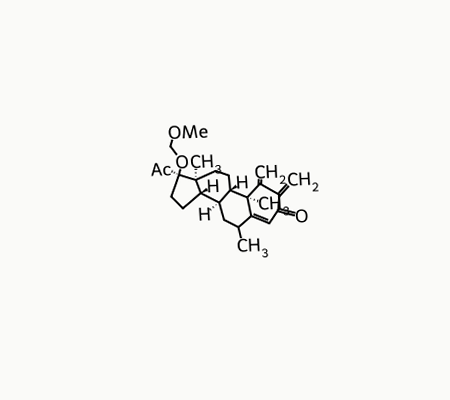 C=C1C(=C)[C@@]2(C)C(=CC1=O)C(C)C[C@@H]1[C@@H]2CC[C@@]2(C)[C@H]1CC[C@]2(OCOC)C(C)=O